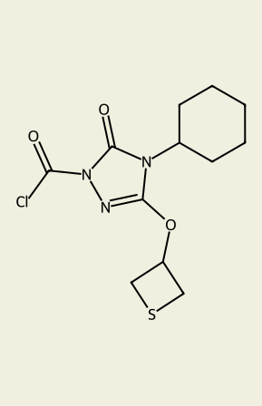 O=C(Cl)n1nc(OC2CSC2)n(C2CCCCC2)c1=O